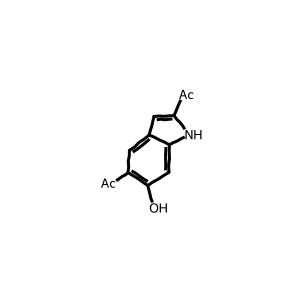 CC(=O)c1cc2cc(C(C)=O)c(O)cc2[nH]1